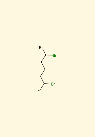 [CH2]C(Br)CCCC(Br)CC